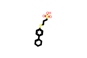 O=S(=O)(O)CCCSc1ccc(C2=CCCCC2)cc1